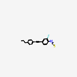 CCCc1ccc(C#Cc2ccc(N=C=S)c(F)c2)cc1